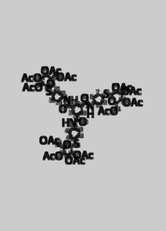 CC(=O)OC[C@H]1O[C@@H](Sc2ccc(NC(=O)c3cc(C(=O)Nc4ccc(S[C@@H]5O[C@H](COC(C)=O)[C@@H](OC(C)=O)[C@H](OC(C)=O)[C@H]5OC(C)=O)cc4)cc(C(=O)Nc4ccc(S[C@@H]5O[C@H](COC(C)=O)[C@@H](OC(C)=O)[C@H](OC(C)=O)[C@H]5OC(C)=O)cc4)c3)cc2)[C@H](OC(C)=O)[C@@H](OC(C)=O)[C@@H]1OC(C)=O